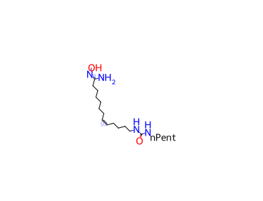 CCCCCNC(=O)NCCCC/C=C\CCCCCC/C(N)=N/O